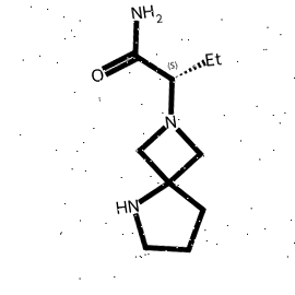 CC[C@@H](C(N)=O)N1CC2(CCCN2)C1